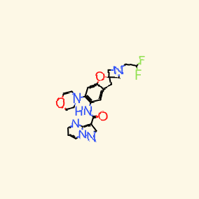 O=C(Nc1cc2c(cc1N1CCOCC1)OC1(C2)CN(CC(F)F)C1)c1cnn2cccnc12